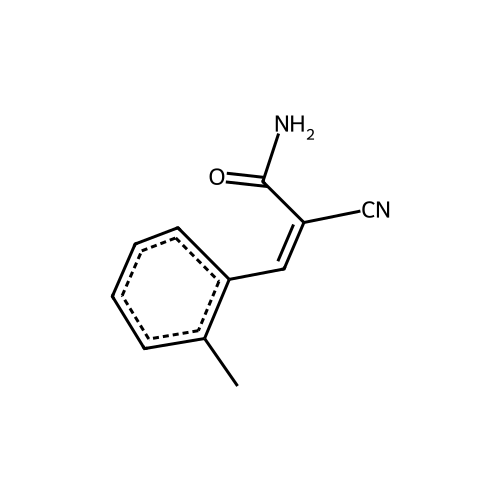 Cc1ccccc1C=C(C#N)C(N)=O